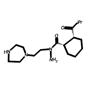 CC(C)C(=O)[C@@H]1CCCC[C@@H]1C(=O)N(N)CCN1CCNCC1